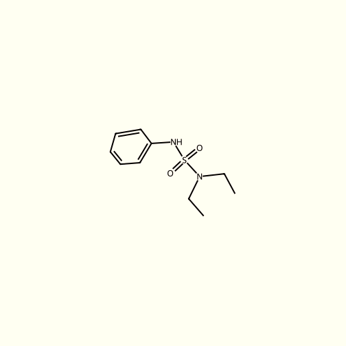 CCN(CC)S(=O)(=O)Nc1ccccc1